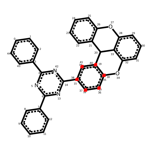 c1ccc(-c2nc(-c3ccccc3)nc(-c3cccc(C45c6ccccc6Oc6cccc(c64)Oc4ccccc45)c3)n2)cc1